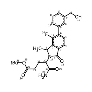 CC1c2c(ccc(-c3cc(CO)ccn3)c2F)C(=O)N1C(CCC(=O)OC(C)(C)C)C(N)=O